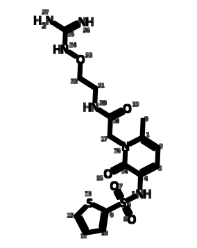 Cc1ccc(NS(=O)(=O)c2cccs2)c(=O)n1CC(=O)NCCONC(=N)N